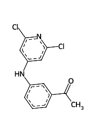 CC(=O)c1cccc(Nc2cc(Cl)nc(Cl)c2)c1